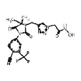 CC1(C)C(=O)N(c2ccc(C#N)c(C(F)(F)F)c2)C(=O)N1Cc1cn(CC(=O)NO)nn1